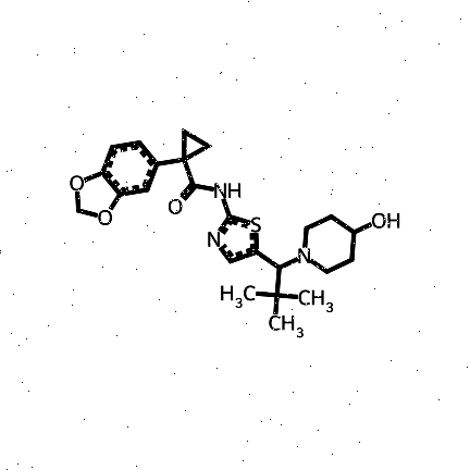 CC(C)(C)C(c1cnc(NC(=O)C2(c3ccc4c(c3)OCO4)CC2)s1)N1CCC(O)CC1